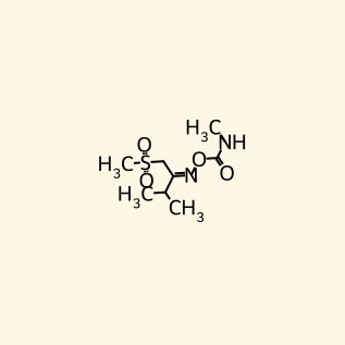 CNC(=O)ON=C(CS(C)(=O)=O)C(C)C